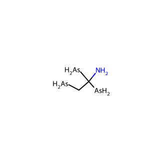 NC([AsH2])([AsH2])C[AsH2]